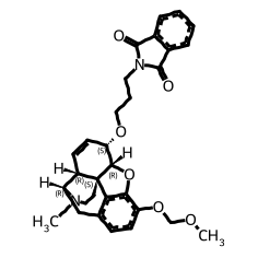 COCOc1ccc2c3c1O[C@H]1[C@@H](OCCCN4C(=O)c5ccccc5C4=O)C=C[C@H]4[C@@H](C2)N(C)CC[C@@]341